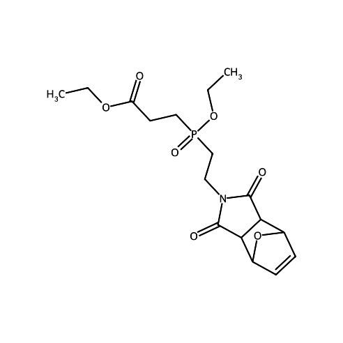 CCOC(=O)CCP(=O)(CCN1C(=O)C2C3C=CC(O3)C2C1=O)OCC